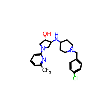 O[C@H]1CN(c2cccc(C(F)(F)F)n2)C[C@@H]1NC1CCN(Cc2ccc(Cl)cc2)CC1